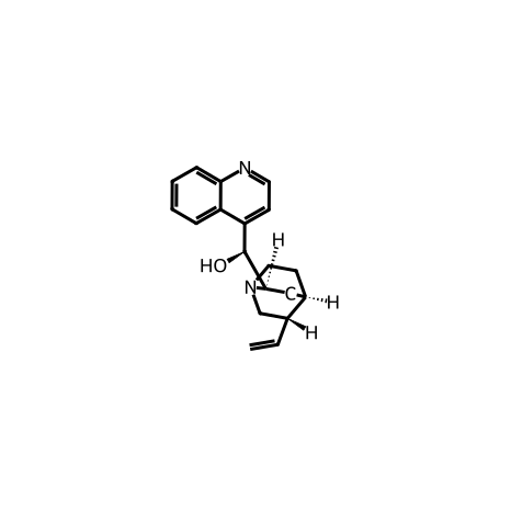 C=C[C@@H]1CN2CC[C@@H]1C[C@@H]2[C@@H](O)c1ccnc2ccccc12